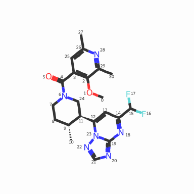 COc1c(C(=O)N2CC[C@@H](C)[C@H](c3cc(C(F)F)nc4ncnn34)C2)cc(C)nc1C